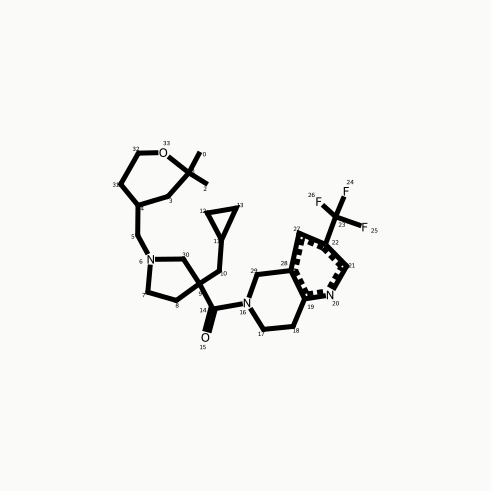 CC1(C)CC(CN2CCC(CC3CC3)(C(=O)N3CCc4ncc(C(F)(F)F)cc4C3)C2)CCO1